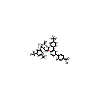 COc1ccc(-c2ccc(C(=O)O)nc2C)cc1-c1ccc(C(F)(F)F)cc1[C@@H]1CC[C@]2(C)N1C(=O)N[C@]2(C)c1cc(C(F)(F)F)cc(C(F)(F)F)c1